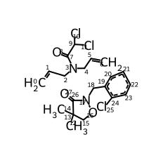 C=CCN(CC=C)C(=O)C(Cl)Cl.CC1(C)CON(Cc2ccccc2Cl)C1=O